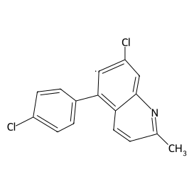 Cc1ccc2c(-c3ccc(Cl)cc3)[c]c(Cl)cc2n1